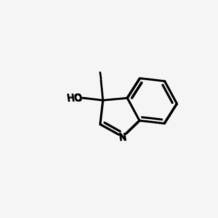 OC1(I)C=Nc2ccccc21